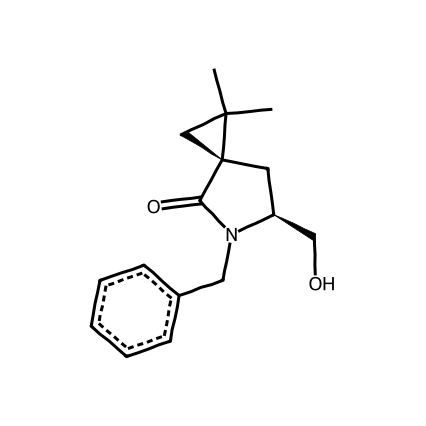 CC1(C)C[C@]12C[C@@H](CO)N(Cc1ccccc1)C2=O